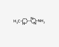 Cc1ccc(-c2cnc(N)cn2)cn1